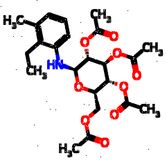 CCc1c(C)cccc1N[C@@H]1O[C@H](COC(C)=O)[C@@H](OC(C)=O)[C@H](OC(C)=O)[C@H]1OC(C)=O